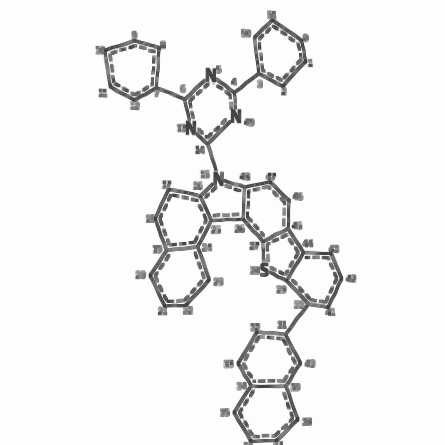 c1ccc(-c2nc(-c3ccccc3)nc(-n3c4ccc5ccccc5c4c4c5sc6c(-c7ccc8ccccc8c7)cccc6c5ccc43)n2)cc1